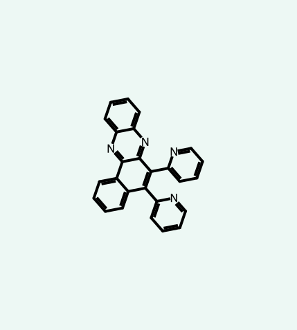 c1ccc(-c2c(-c3ccccn3)c3nc4ccccc4nc3c3ccccc23)nc1